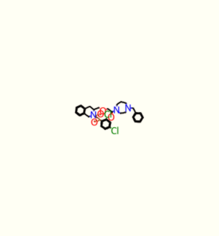 O=C(COCC1Cc2ccccc2CN1S(=O)(=O)c1ccc(Cl)cc1Cl)N1CCCN(Cc2ccccc2)CC1